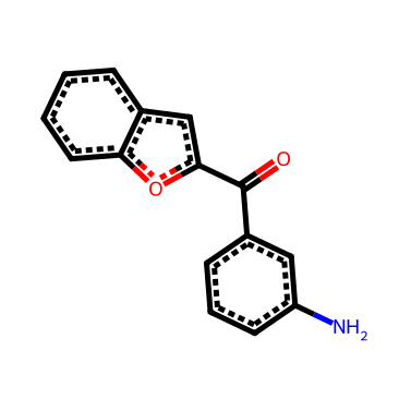 Nc1cccc(C(=O)c2cc3ccccc3o2)c1